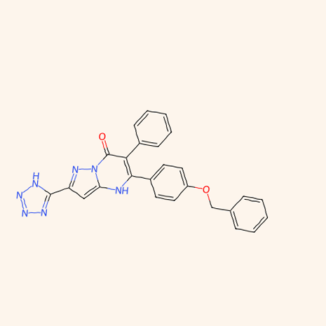 O=c1c(-c2ccccc2)c(-c2ccc(OCc3ccccc3)cc2)[nH]c2cc(-c3nnn[nH]3)nn12